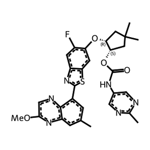 COc1cnc2c(-c3nc4cc(F)c(O[C@@H]5CC(C)(C)C[C@@H]5OC(=O)Nc5cnc(C)nc5)cc4s3)cc(C)cc2n1